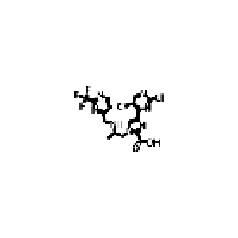 CC(Cn1cc(-c2nc(Cl)ncc2Cl)nc1C(=O)O)NCc1ccnc(C(F)(F)F)n1